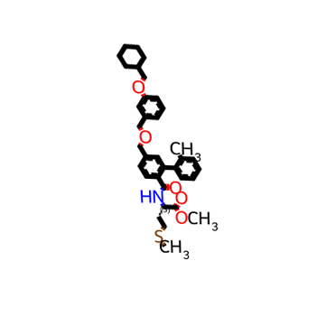 COC(=O)[C@H](CCSC)NC(=O)c1ccc(COCc2cccc(OCC3CCCCC3)c2)cc1-c1ccccc1C